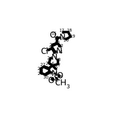 CS(=O)(=O)N1CC2(CCN(c3ncc(C(=O)N4CCCC4)cc3Cl)CC2)c2ccccc21